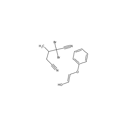 CC(CC#N)C(Br)(Br)C#N.OC=COc1ccccc1